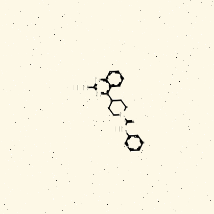 Nc1nc(C2CCN(C(=O)Nc3ccccc3)CC2)c2ccccc2n1